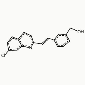 OCc1cccc(/C=C/c2ccc3ccc(Cl)cc3n2)c1